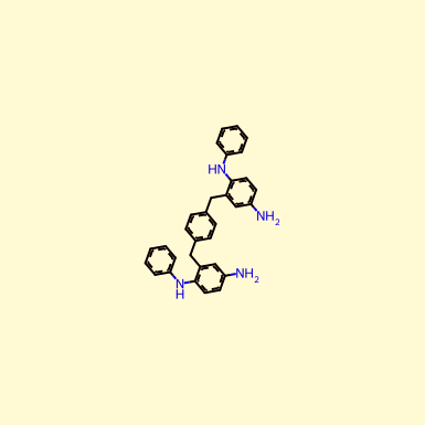 Nc1ccc(Nc2ccccc2)c(Cc2ccc(Cc3cc(N)ccc3Nc3ccccc3)cc2)c1